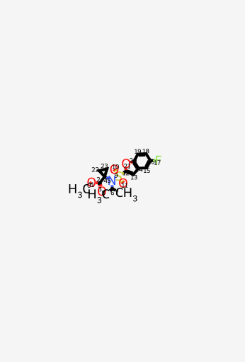 COC(=O)C1(N(C(C)C)S(=O)(=O)c2cc3cc(F)ccc3o2)CC1